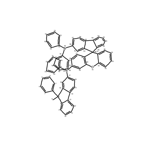 CC1(c2ccccc2)c2ccccc2-c2ccc(N(c3ccccc3)c3ccc4c(c3)Oc3ccccc3C43c4ccccc4-c4ccc(N(c5ccccc5)c5ccccc5)cc43)cc21